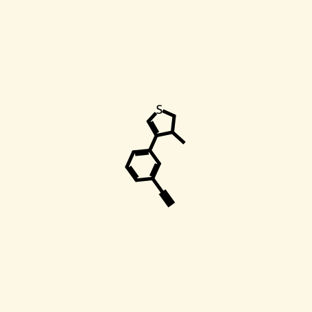 C#Cc1cccc(C2=CSCC2C)c1